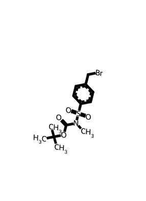 CN(C(=O)OC(C)(C)C)S(=O)(=O)c1ccc(CBr)cc1